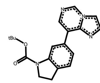 CC(C)(C)OC(=O)N1CCc2ccc(-c3cncn4ccnc34)cc21